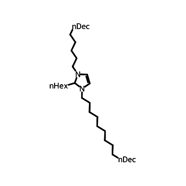 CCCCCCCCCCCCCCCCCCCN1C=CN(CCCCCCCCCCCCCCC)C1CCCCCC